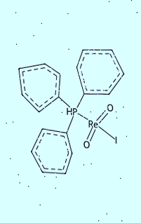 [O]=[Re](=[O])([I])[PH](c1ccccc1)(c1ccccc1)c1ccccc1